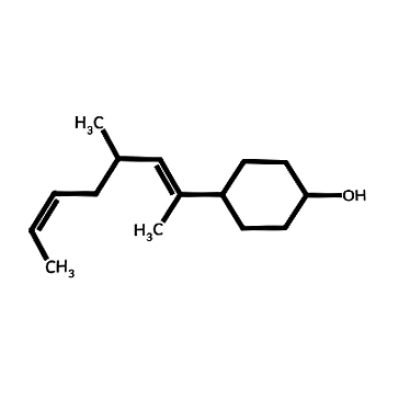 C/C=C\CC(C)/C=C(\C)C1CCC(O)CC1